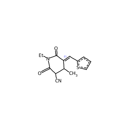 CCN1C(=O)/C(=C/c2cccs2)C(C)C(C#N)C1=O